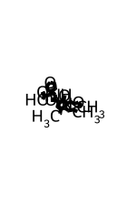 CCCc1c(CC)cc(C(=O)NC2(CC(=O)O)CCOCC2)c(=O)n1CCOC